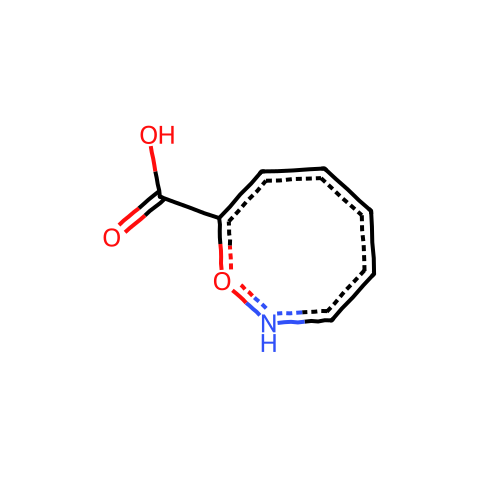 O=C(O)c1ccccc[nH]o1